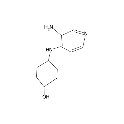 Nc1cnccc1NC1CCC(O)CC1